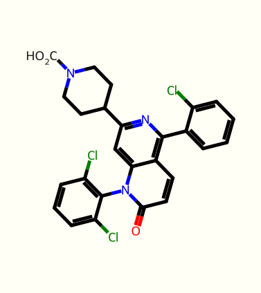 O=C(O)N1CCC(c2cc3c(ccc(=O)n3-c3c(Cl)cccc3Cl)c(-c3ccccc3Cl)n2)CC1